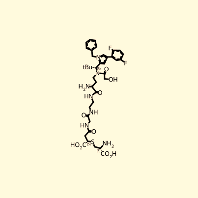 CC(C)(C)[C@H](c1cc(-c2cc(F)ccc2F)cn1Cc1ccccc1)N(CC[C@H](N)C(=O)NCCNC(=O)CNC(=O)C[C@H](SC[C@H](N)C(=O)O)C(=O)O)C(=O)CO